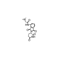 CN(C)CC(=O)Nc1cccc2c1C(=O)N(C1CCC(=O)NC1=O)C2=O